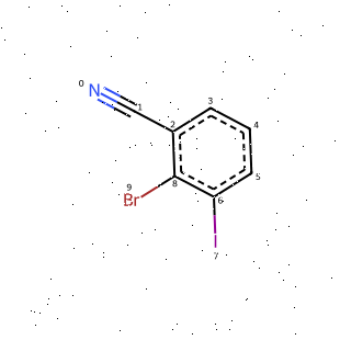 N#Cc1cccc(I)c1Br